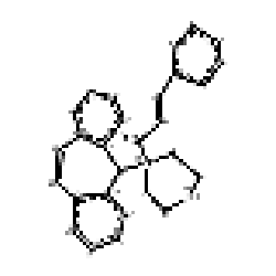 O=C(C=Cc1ccccc1)[N+]1(C2c3ccccc3C=Cc3ccccc32)CCNCC1